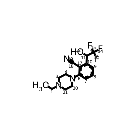 CCN1CCN(c2cccc(C(O)C(F)(F)F)c2C#N)CC1